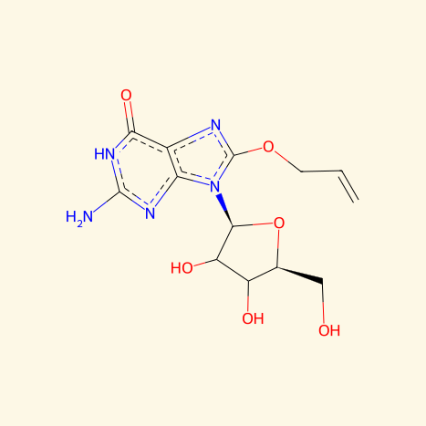 C=CCOc1nc2c(=O)[nH]c(N)nc2n1[C@H]1O[C@@H](CO)C(O)C1O